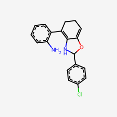 Nc1ccccc1C1=C2NC(c3ccc(Cl)cc3)OC2=CCC1